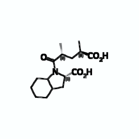 C[C@H](C[C@@H](C)C(=O)N1C2CCCCC2C[C@H]1C(=O)O)C(=O)O